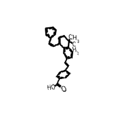 CC1(C)CC=C(/C=C\c2ccccc2)c2cc(/C=C/c3ccc(C(=O)O)cc3)ccc21